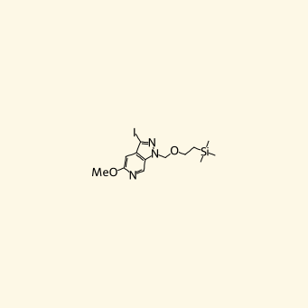 COc1cc2c(I)nn(COCC[Si](C)(C)C)c2cn1